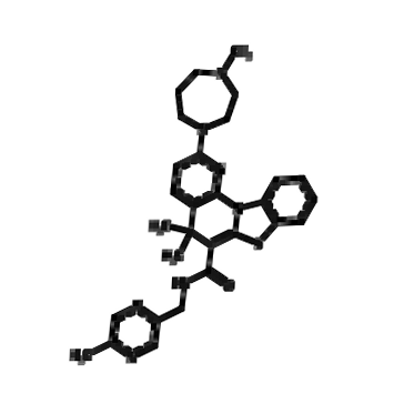 Cc1cnc(CNC(=O)C2=C3Sc4ccccc4N3c3nc(N4CCCN(C)CC4)ccc3C2(C)C)cn1